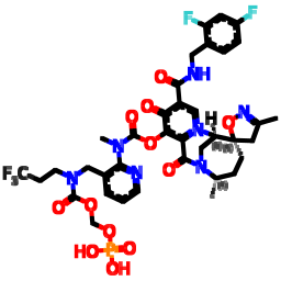 CC1=NO[C@@]2(CC[C@H](C)N3C[C@H]2n2cc(C(=O)NCc4ccc(F)cc4F)c(=O)c(OC(=O)N(C)c4ncccc4CN(CCC(F)(F)F)C(=O)OCOP(=O)(O)O)c2C3=O)C1